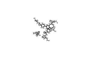 CCCn1cncc1C[S+]([O-])c1ccc([N+]2(CC(C)C)CCC/C(C(N)=O)=C\c3cc(-c4ccc(OCCOCC)cc4)ccc32)cc1.CS(=O)(=O)O